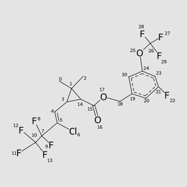 CC1(C)C(C=C(Cl)C(F)(F)C(F)(F)F)C1C(=O)OCc1cc(F)cc(OC(F)(F)F)c1